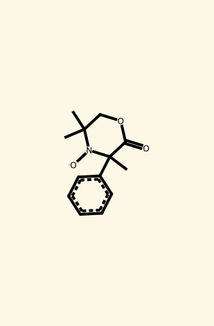 CC1(C)COC(=O)C(C)(c2ccccc2)N1[O]